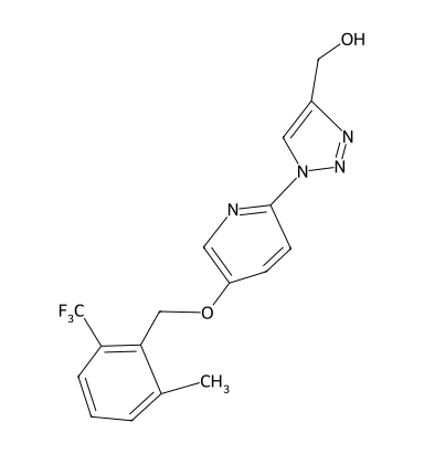 Cc1cccc(C(F)(F)F)c1COc1ccc(-n2cc(CO)nn2)nc1